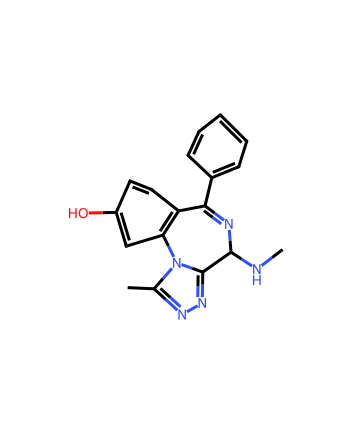 CNC1N=C(c2ccccc2)c2ccc(O)cc2-n2c(C)nnc21